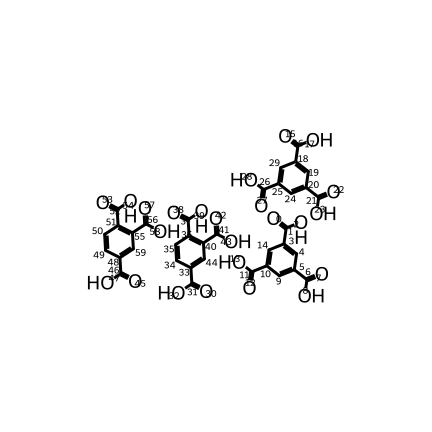 O=C(O)c1cc(C(=O)O)cc(C(=O)O)c1.O=C(O)c1cc(C(=O)O)cc(C(=O)O)c1.O=C(O)c1ccc(C(=O)O)c(C(=O)O)c1.O=C(O)c1ccc(C(=O)O)c(C(=O)O)c1